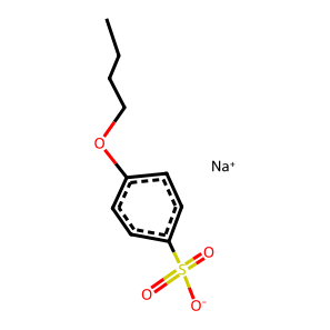 CCCCOc1ccc(S(=O)(=O)[O-])cc1.[Na+]